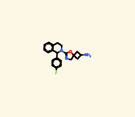 NC1CC2(CN=C(N3CCc4ccccc4C3c3ccc(F)cc3)O2)C1